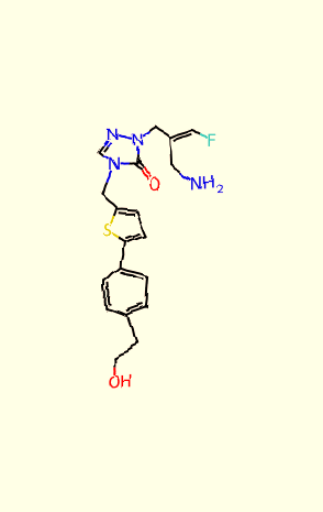 NC/C(=C\F)Cn1ncn(Cc2ccc(-c3ccc(CCO)cc3)s2)c1=O